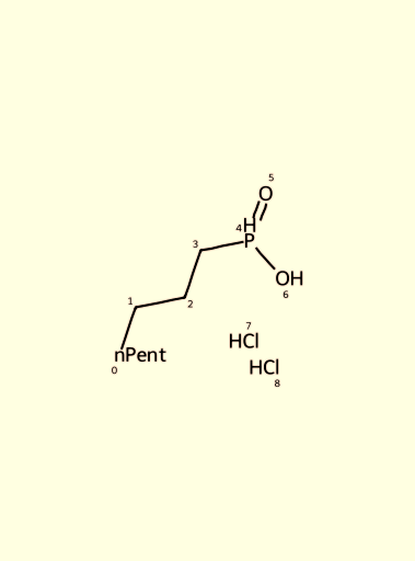 CCCCCCCC[PH](=O)O.Cl.Cl